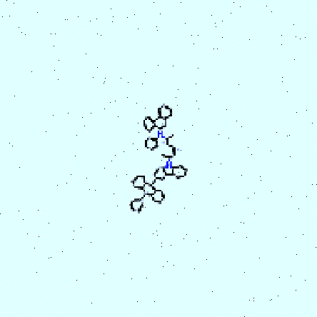 C=C(/C=C\C=C(/C)N(c1ccccc1)c1cc2ccccc2c2ccccc12)N1c2ccc(-c3c4ccccc4c(-c4ccccc4)c4ccccc34)cc2C2C=CC=CC21